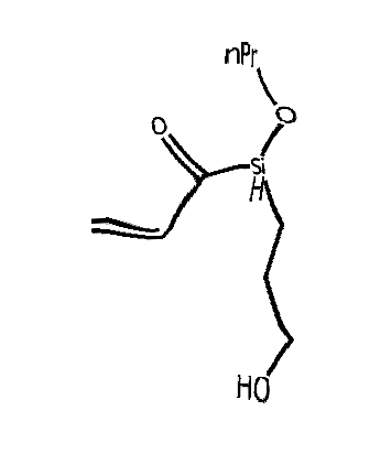 C=CC(=O)[SiH](CCCO)OCCC